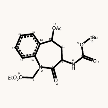 CCOC(=O)CN1C(=O)C(NC(=O)OC(C)(C)C)CC(OC(C)=O)c2ccccc21